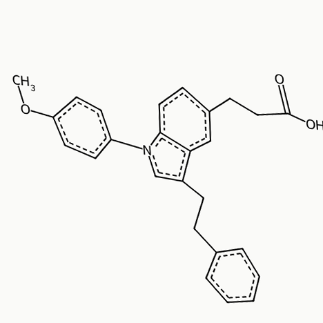 COc1ccc(-n2cc(CCc3ccccc3)c3cc(CCC(=O)O)ccc32)cc1